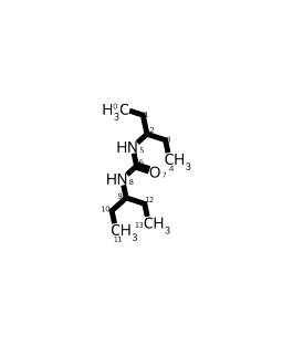 CCC(CC)NC(=O)NC(CC)CC